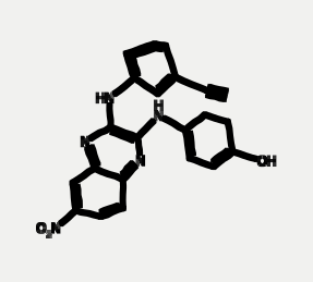 C#CC1=CC(Nc2nc3cc([N+](=O)[O-])ccc3nc2NC2=CC=C(O)CC2)=C=C=C1